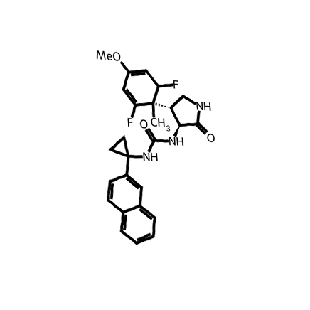 COC1=CC(F)C(C)([C@@H]2CNC(=O)[C@H]2NC(=O)NC2(c3ccc4ccccc4c3)CC2)C(F)=C1